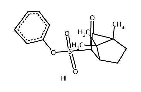 CC12CCC(C(S(=O)(=O)Oc3ccccc3)C1=O)C2(C)C.I